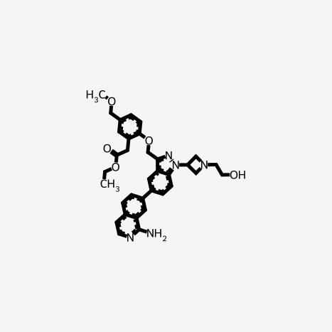 CCOC(=O)Cc1cc(COC)ccc1OCc1nn(C2CN(CCO)C2)c2ccc(-c3ccc4ccnc(N)c4c3)cc12